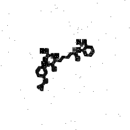 Nc1ccccc1NC(=O)CCCCC(NC(=O)O)C(=O)Nc1cccc(OC2CC2)c1